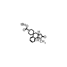 CN1C(=O)C[C@H]2CC3(CCN(C(=O)OC(C)(C)C)CC3)c3ccccc3[C@H]21